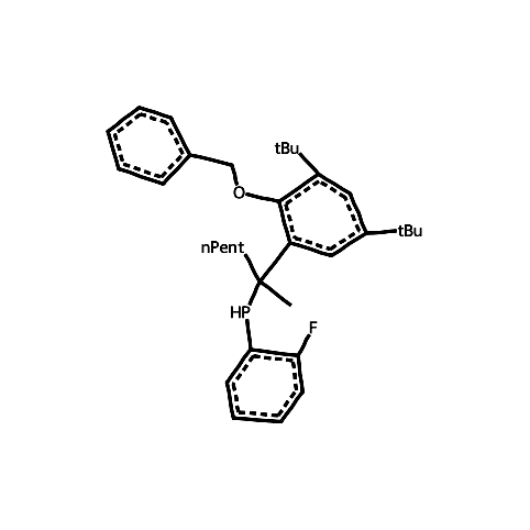 CCCCCC(C)(Pc1ccccc1F)c1cc(C(C)(C)C)cc(C(C)(C)C)c1OCc1ccccc1